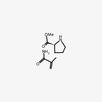 C=C(C)C(N)=O.COC(=O)[C@@H]1CCCN1